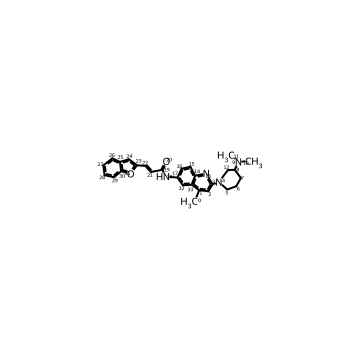 Cc1cc(N2CCCC(N(C)C)C2)nc2ccc(NC(=O)C=Cc3cc4ccccc4o3)cc12